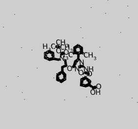 Cc1cccc(C)c1-c1cc(OC(Cc2ccccc2)CN(Cc2ccccc2)C(=O)OC(C)(C)C)nc(NS(=O)(=O)c2cccc(C(=O)O)c2)n1